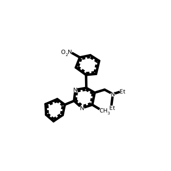 CCN(CC)Cc1c(C)nc(-c2ccccc2)nc1-c1cccc([N+](=O)[O-])c1